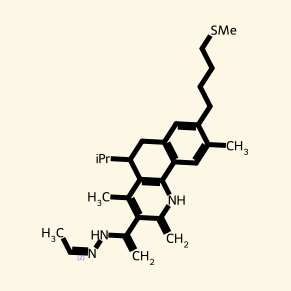 C=C(N/N=C\C)C1=C(C)C2=C(NC1=C)c1cc(C)c(CCCCSC)cc1CC2C(C)C